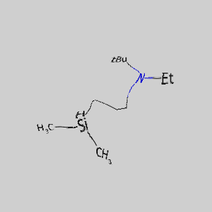 CCN(CC[SiH](C)C)C(C)(C)C